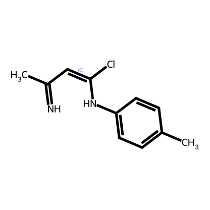 CC(=N)/C=C(/Cl)Nc1ccc(C)cc1